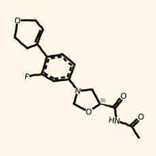 CC(=O)NC(=O)[C@@H]1CN(c2ccc(C3=CCOCC3)c(F)c2)CO1